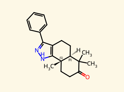 CC1(C)C(=O)CC[C@]2(C)c3[nH]nc(-c4ccccc4)c3CC[C@@H]12